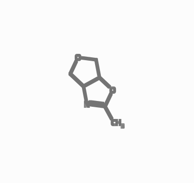 CC1=NC2COCC2O1